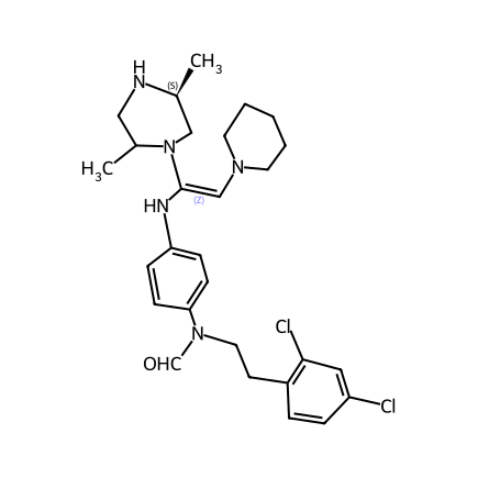 CC1CN[C@@H](C)CN1/C(=C\N1CCCCC1)Nc1ccc(N(C=O)CCc2ccc(Cl)cc2Cl)cc1